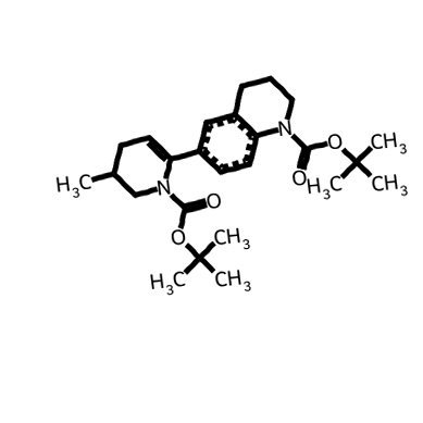 CC1CC=C(c2ccc3c(c2)CCCN3C(=O)OC(C)(C)C)N(C(=O)OC(C)(C)C)C1